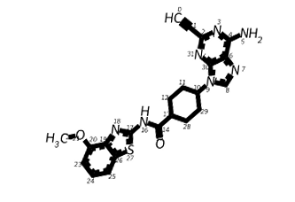 C#Cc1nc(N)c2ncn(C3CCC(C(=O)Nc4nc5c(OC)cccc5s4)CC3)c2n1